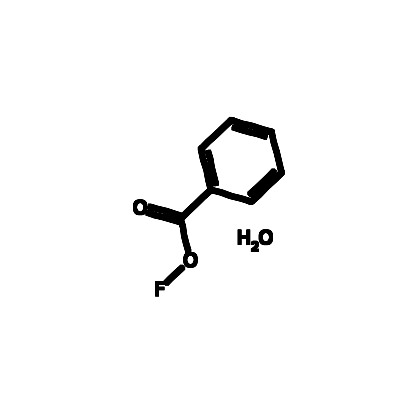 O.O=C(OF)c1ccccc1